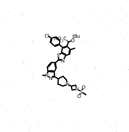 Cc1cc2nc(-c3ccc4c(c3)c(C3CCN(C5CN(S(C)(=O)=O)C5)CC3)nn4C)sc2c(-c2ccc(Cl)cc2)c1[C@H](OC(C)(C)C)C(=O)O